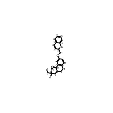 CCC(F)(F)CC1CCc2ccc(OCc3ccc4ccccc4n3)cc2C1=O